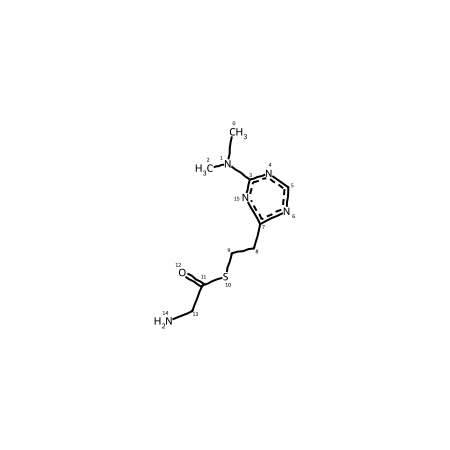 CN(C)c1ncnc(CCSC(=O)CN)n1